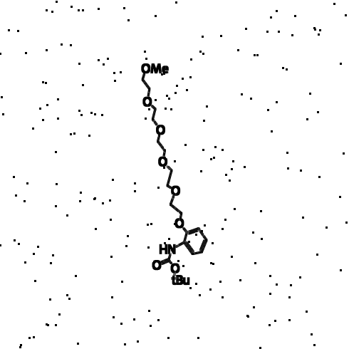 COCCOCCOCCOCCOCCOc1ccccc1NC(=O)OC(C)(C)C